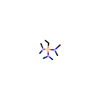 CC[PH](N(C)C)(N(C)C)N(C)C